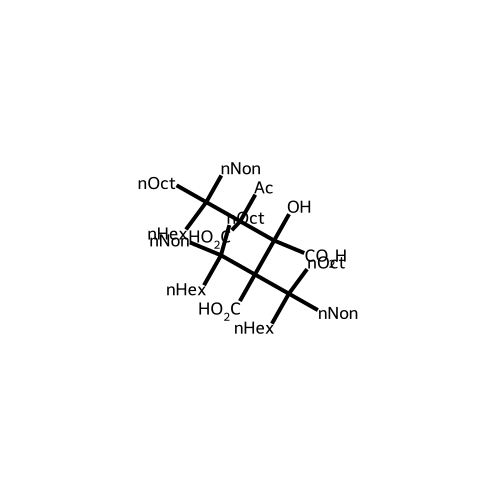 CCCCCCCCCC(CCCCCC)(CCCCCCCC)C(C(C)=O)(C(=O)O)C(O)(C(=O)O)C(C(=O)O)(C(CCCCCC)(CCCCCCCC)CCCCCCCCC)C(CCCCCC)(CCCCCCCC)CCCCCCCCC